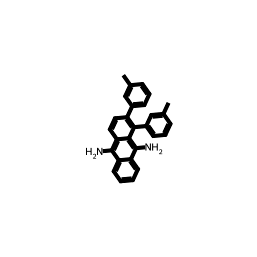 Cc1cccc(-c2ccc3c(N)c4ccccc4c(N)c3c2-c2cccc(C)c2)c1